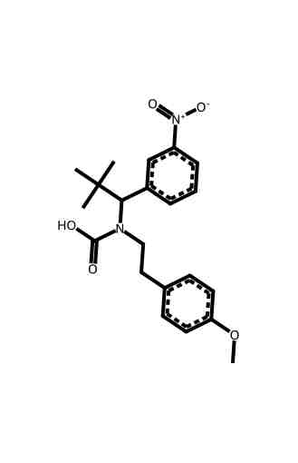 COc1ccc(CCN(C(=O)O)C(c2cccc([N+](=O)[O-])c2)C(C)(C)C)cc1